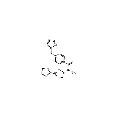 CN(C(=O)c1ccc(Cn2cccn2)cc1)[C@@H]1CCN(C2CCCC2)C1